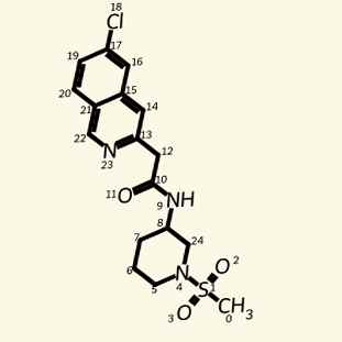 CS(=O)(=O)N1CCCC(NC(=O)Cc2cc3cc(Cl)ccc3cn2)C1